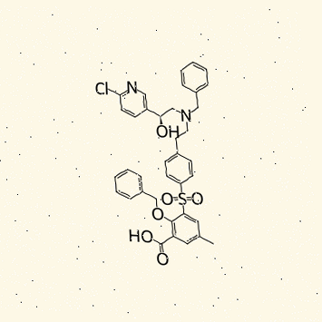 Cc1cc(C(=O)O)c(OCc2ccccc2)c(S(=O)(=O)c2ccc(CCN(Cc3ccccc3)C[C@@H](O)c3ccc(Cl)nc3)cc2)c1